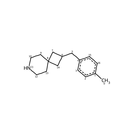 Cc1ccc(CC2CC3(CCNCC3)C2)cc1